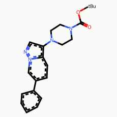 CC(C)(C)OC(=O)N1CCN(c2cnn3cc(-c4ccccc4)ccc23)CC1